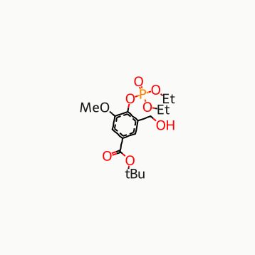 CCOP(=O)(OCC)Oc1c(CO)cc(C(=O)OC(C)(C)C)cc1OC